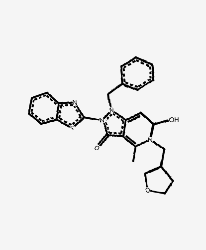 CC1=c2c(n(Cc3ccccc3)n(-c3nc4ccccc4s3)c2=O)=CC(O)N1CC1CCOC1